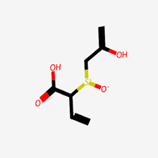 C=CC(C(=O)O)[S+]([O-])CC(=C)O